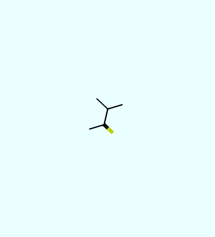 [CH2]C(C)C(C)=S